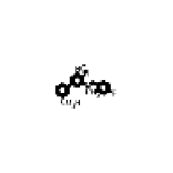 CN(Cc1ccc(F)cc1)c1cc(-c2cccc(C(=O)O)c2)cc2nonc12